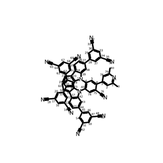 Cc1cc(-c2cc(-n3c4cc(-c5cc(C#N)cc(C#N)c5)ccc4c4ccc(-c5cc(C#N)cc(C#N)c5)cc43)c(-n3c4cc(-c5cc(C#N)cc(C#N)c5)ccc4c4ccc(-c5cc(C#N)cc(C#N)c5)cc43)cc2C#N)cc(C)n1